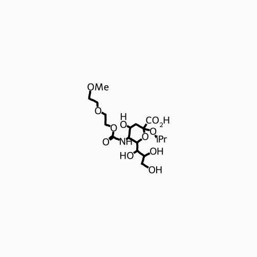 COCCOCCOC(=O)NC1C(O)CC(OC(C)C)(C(=O)O)OC1C(O)C(O)CO